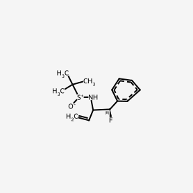 C=CC(N[S+]([O-])C(C)(C)C)[C@H](F)c1ccccc1